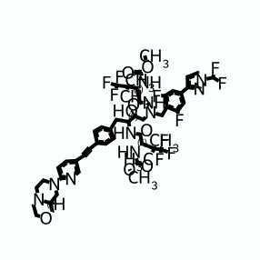 COC(=O)N[C@H](C(=O)NC(Cc1ccc(C#Cc2ccc(N3CCN4CCOC[C@H]4C3)nc2)cc1)[C@@H](O)CN(Cc1c(F)cc(-c2ccn(C(F)F)n2)cc1F)NC(=O)[C@@H](NC(=O)OC)C(C)(C)C(F)(F)F)C(C)(C)C(F)(F)F